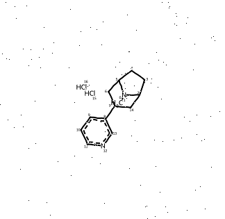 CN1C2CCC1CC(c1cccnc1)C2.Cl.Cl